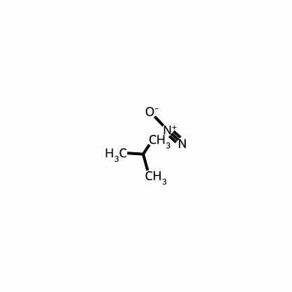 CC(C)C.N#[N+][O-]